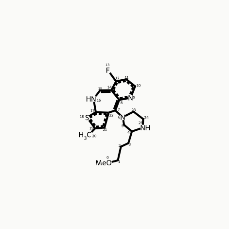 COCCCC1CN(C2=c3nccc(F)c3=CNc3sc(C)cc32)CCN1